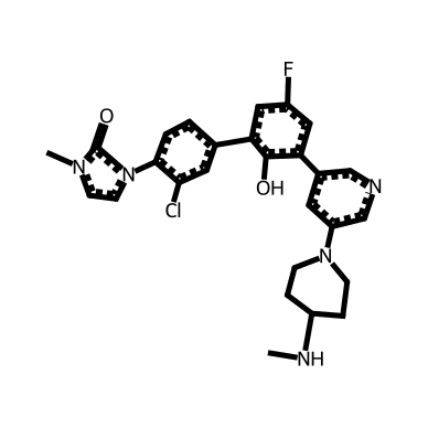 CNC1CCN(c2cncc(-c3cc(F)cc(-c4ccc(-n5ccn(C)c5=O)c(Cl)c4)c3O)c2)CC1